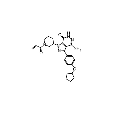 C=CC(=O)N1CCCC(n2nc(-c3ccc(OC4CCCC4)cc3)c3c(N)n[nH]c(=O)c32)C1